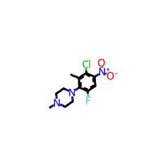 Cc1c(Cl)c([N+](=O)[O-])cc(F)c1N1CCN(C)CC1